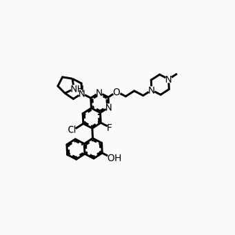 CN1CCN(CCCOc2nc(N3CC4CCC(C3)N4)c3cc(Cl)c(-c4cc(O)cc5ccccc45)c(F)c3n2)CC1